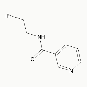 CC(C)CCNC(=O)c1cccnc1